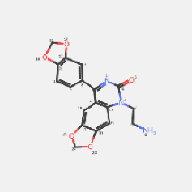 NCCn1c(=O)nc(-c2ccc3c(c2)OCO3)c2cc3c(cc21)OCO3